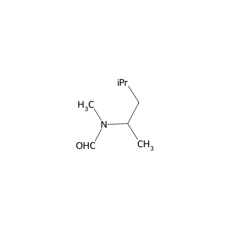 CC(C)CC(C)N(C)C=O